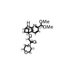 COC(OC)c1ccc2c(n1)NC1CC2(OCC(=O)N2CCOCC2)C1